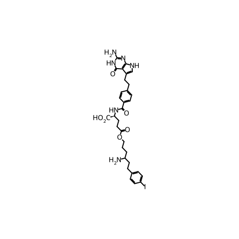 Nc1nc2[nH]cc(CCc3ccc(C(=O)N[C@@H](CCC(=O)OCCCC(N)CCc4ccc(I)cc4)C(=O)O)cc3)c2c(=O)[nH]1